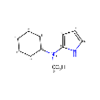 O=C(O)N(c1ccc[nH]1)C1CCCCC1